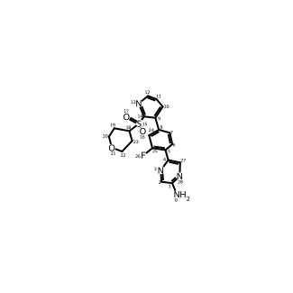 Nc1cnc(-c2ccc(-c3cccnc3S(=O)(=O)C3CCOCC3)cc2F)cn1